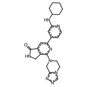 O=C1NCc2c1cc(-c1ccnc(NC3CCCCC3)c1)nc2N1CCn2cnnc2C1